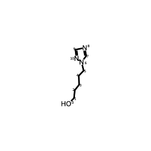 OCCCCCn1cncn1